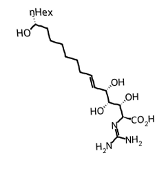 CCCCCC[C@@H](O)CCCCCC/C=C/[C@H](O)[C@@H](O)[C@H](O)[C@H](N=C(N)N)C(=O)O